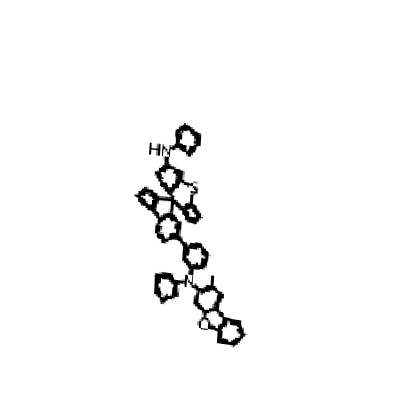 CC1=C(N(c2ccccc2)c2cccc(-c3ccc4c(c3)C3(c5ccccc5Sc5cc(Nc6ccccc6)ccc53)c3ccccc3-4)c2)CC2Oc3ccccc3C2=C1